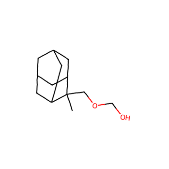 CC1(COCO)C2CC3CC(C2)CC1C3